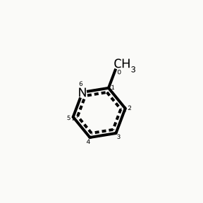 Cc1[c]cc[c]n1